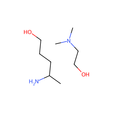 CC(N)CCCO.CN(C)CCO